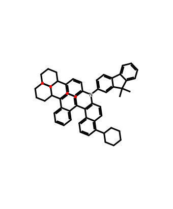 CC1(C)c2ccccc2-c2ccc(N(c3ccc(C4CCCCC4)cc3)c3ccc4c(C5CCCCC5)cccc4c3-c3ccc(C4CCCCC4)c4ccccc34)cc21